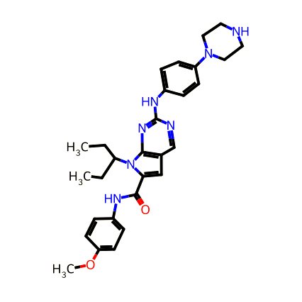 CCC(CC)n1c(C(=O)Nc2ccc(OC)cc2)cc2cnc(Nc3ccc(N4CCNCC4)cc3)nc21